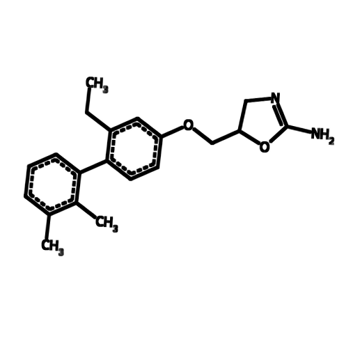 CCc1cc(OCC2CN=C(N)O2)ccc1-c1cccc(C)c1C